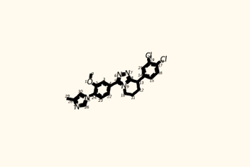 COc1cc(-c2nnc3n2CCCC3c2ccc(Cl)c(Cl)c2)ccc1-n1cnc(C)c1